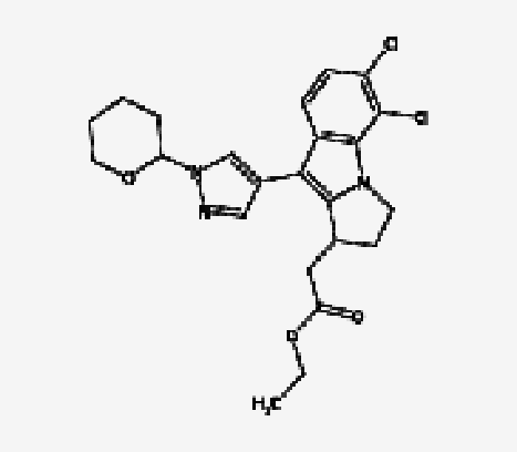 CCOC(=O)CC1CCn2c1c(-c1cnn(C3CCCCO3)c1)c1ccc(Cl)c(Cl)c12